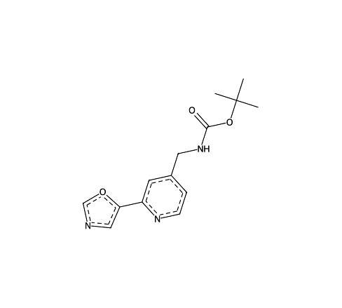 CC(C)(C)OC(=O)NCc1ccnc(-c2cnco2)c1